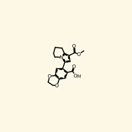 COC(=O)c1cc(-c2cc3c(cc2C(=O)O)OCCO3)n2c1CCCC2